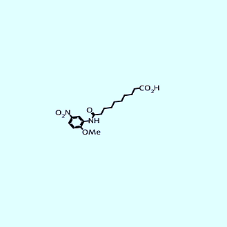 COc1ccc([N+](=O)[O-])cc1NC(=O)CCCCCCCCC(=O)O